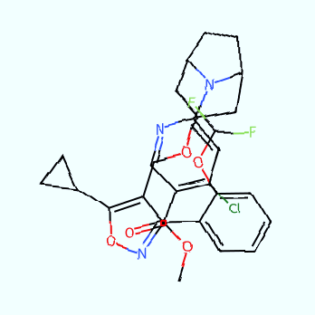 COC(=O)c1cnc(N2C3CCC2CC(OCc2c(-c4ccccc4OC(F)F)noc2C2CC2)C3)cc1Cl